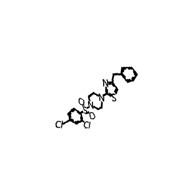 O=S(=O)(c1ccc(Cl)cc1Cl)N1CCN(c2nc(Cc3ccccc3)cs2)CC1